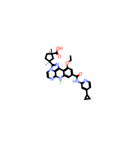 CCOc1cc(C(=O)Nc2cc(C3CC3)ccn2)cc2c1-c1nc([C@@]3(C)CC[C@](C)(C(=O)O)C3)n3ccnc(c13)N2F